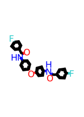 O=C(Nc1ccc(Oc2ccc(NC(=O)c3ccc(F)cc3)cc2)cc1)c1ccc(F)cc1